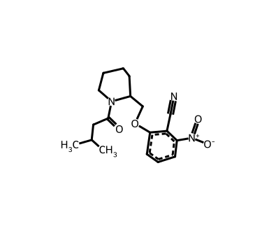 CC(C)CC(=O)N1CCCCC1COc1cccc([N+](=O)[O-])c1C#N